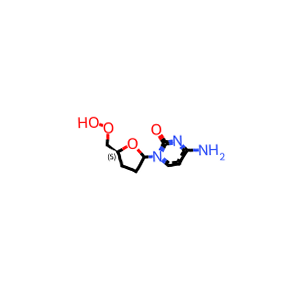 Nc1ccn(C2CC[C@@H](COO)O2)c(=O)n1